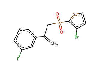 C=C(CS(=O)(=O)c1sccc1Br)c1cccc(F)c1